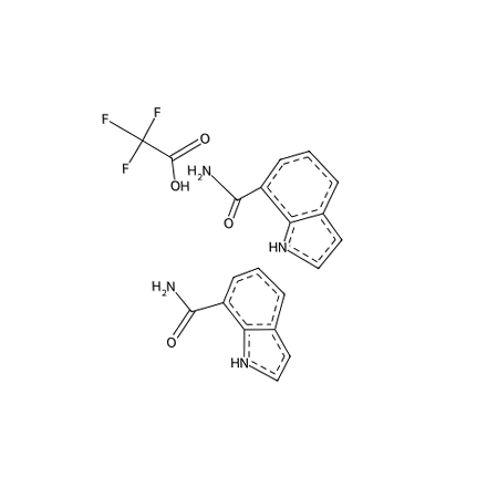 NC(=O)c1cccc2cc[nH]c12.NC(=O)c1cccc2cc[nH]c12.O=C(O)C(F)(F)F